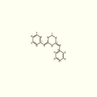 C(=C1CCCC(=Cc2ccccc2)C1)c1ccccc1